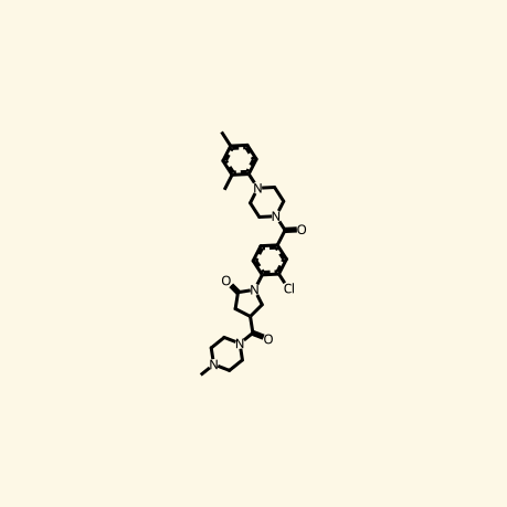 Cc1ccc(N2CCN(C(=O)c3ccc(N4CC(C(=O)N5CCN(C)CC5)CC4=O)c(Cl)c3)CC2)c(C)c1